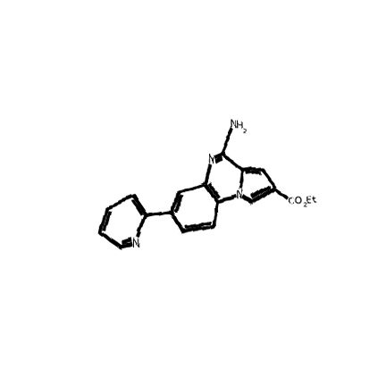 CCOC(=O)c1cc2c(N)nc3cc(-c4ccccn4)ccc3n2c1